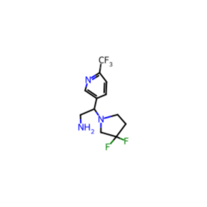 NCC(c1ccc(C(F)(F)F)nc1)N1CCC(F)(F)C1